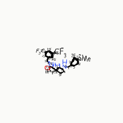 CSc1ccc(CN[C@@H]2CC[C@@](C(=O)NCc3cc(C(F)(F)F)cc(C(F)(F)F)c3)(C(C)C)C2)cc1